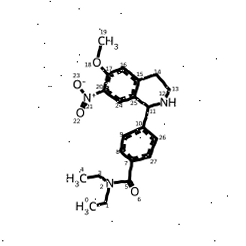 CCN(CC)C(=O)c1ccc(C2NCCc3cc(OC)c([N+](=O)[O-])cc32)cc1